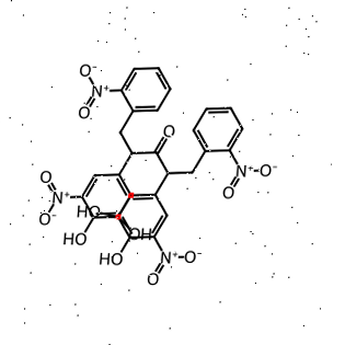 O=C(C(Cc1ccccc1[N+](=O)[O-])c1cc(O)c(O)c([N+](=O)[O-])c1)C(Cc1ccccc1[N+](=O)[O-])c1cc(O)c(O)c([N+](=O)[O-])c1